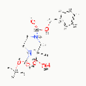 CC(C)(C)OC(=O)N1CCN(C(=O)OCc2ccccc2)CC1(C)C(=O)O